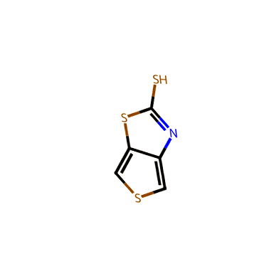 Sc1nc2cscc2s1